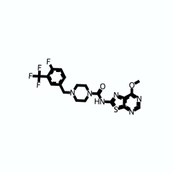 COc1ncnc2sc(NC(=O)N3CCN(Cc4ccc(F)c(C(F)(F)F)c4)CC3)nc12